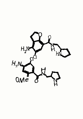 COc1cc(N)c(Cl)cc1C(=O)NCC1CCCN1.Nc1c(Cl)cc(C(=O)NCC2CCCN2)c2c1CCO2